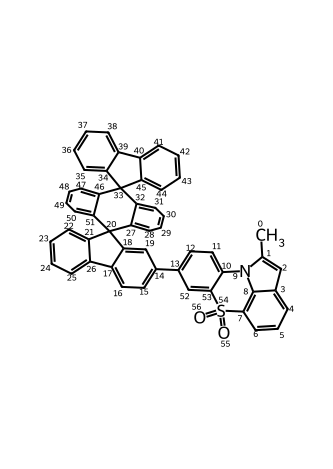 Cc1cc2cccc3c2n1-c1ccc(-c2ccc4c(c2)C2(c5ccccc5-4)c4ccccc4C4(c5ccccc5-c5ccccc54)c4ccccc42)cc1S3(=O)=O